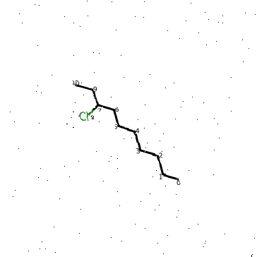 CCCCCCCC(Cl)CC